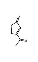 CC(=O)C1=CC(=O)CC1